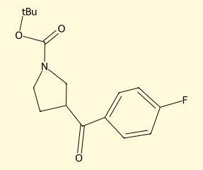 CC(C)(C)OC(=O)N1CCC(C(=O)c2ccc(F)cc2)C1